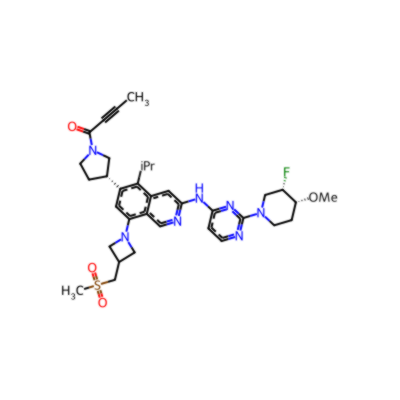 CC#CC(=O)N1CC[C@@H](c2cc(N3CC(CS(C)(=O)=O)C3)c3cnc(Nc4ccnc(N5CC[C@@H](OC)[C@@H](F)C5)n4)cc3c2C(C)C)C1